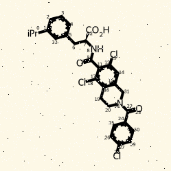 CC(C)c1cccc(C[C@H](NC(=O)c2c(Cl)cc3c(c2Cl)CCN(C(=O)c2ccc(Cl)cc2)C3)C(=O)O)c1